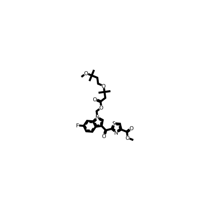 COC(=O)c1csc(C(=O)c2cn(COC(=O)CC(C)(C)OCCC(C)(C)OC)c3cc(F)ccc23)n1